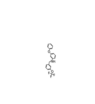 FC(F)(F)Oc1cccc(CNc2cccc(Oc3ccccc3)c2)c1